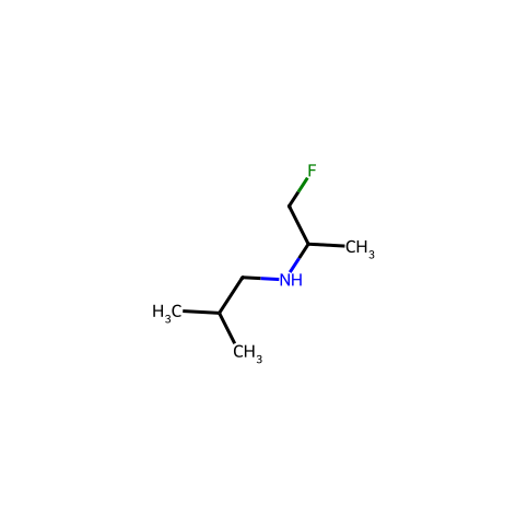 CC(C)CNC(C)CF